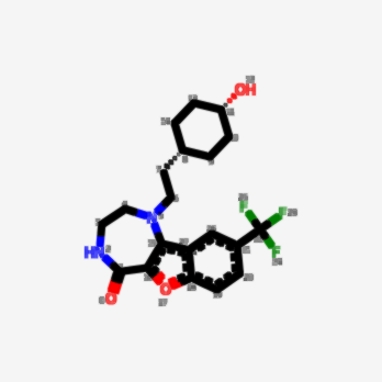 O=C1NCCN(CC[C@H]2CC[C@@H](O)CC2)c2c1oc1ccc(C(F)(F)F)cc21